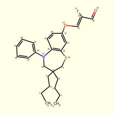 CCCCC1(CCCC)CSc2cc(O/C=C(\F)C=O)ccc2N(c2ccccc2)C1